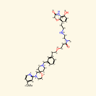 COc1ccnc(N2CCOC3(CCN(Cc4cccc(CCOCCC(=O)N(C)CCNCCc5ccc(O)c6c5OCC(=O)N6)c4)CC3)C2)c1